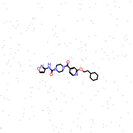 O=C(Nc1ccon1)N1CCN(C(=O)c2ccnc(OCCC3CCCCC3)c2)CC1